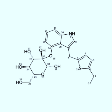 CCc1ccc(Cc2c[nH]c3cccc(O[C@]4(O)[C@H](O)O[C@H](CO)[C@@H](O)[C@@H]4O)c23)s1